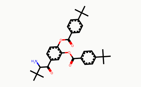 CC(C)(C)c1ccc(C(=O)Oc2ccc(C(=O)C(N)C(C)(C)C)cc2OC(=O)c2ccc(C(C)(C)C)cc2)cc1